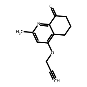 C#CCOc1cc(C)nc2c1CCCC2=O